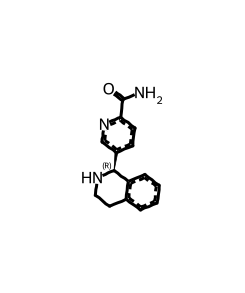 NC(=O)c1ccc([C@@H]2NCCc3ccccc32)cn1